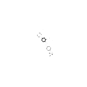 Cc1c(NC[C@H]2CC[C@H](NS(=O)(=O)C(C)C)CC2)ccc(N2C[C@@H](C)O[C@@H](C)C2)c1C